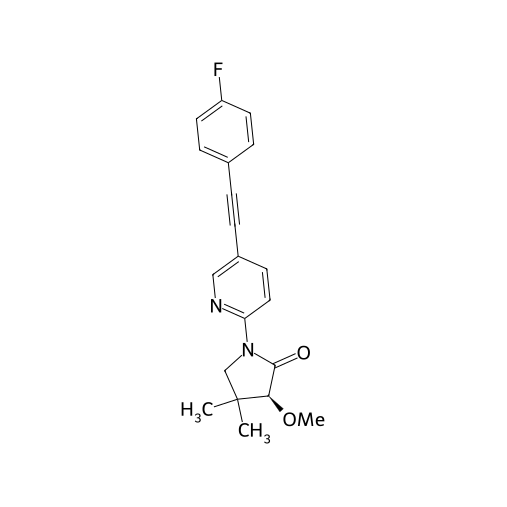 CO[C@@H]1C(=O)N(c2ccc(C#Cc3ccc(F)cc3)cn2)CC1(C)C